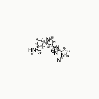 CNC(=O)c1cccc(-c2cc(-c3nc(C4CCCN4C#N)no3)ccn2)c1